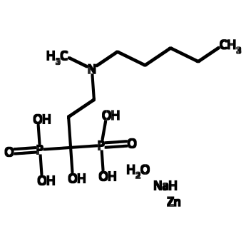 CCCCCN(C)CCC(O)(P(=O)(O)O)P(=O)(O)O.O.[NaH].[Zn]